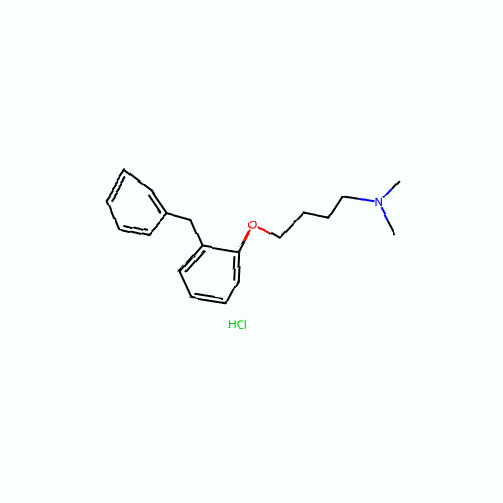 CN(C)CCCCOc1ccccc1Cc1ccccc1.Cl